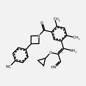 Cc1cc(C)c(/C(N)=C(/C=N)OC2CC2)cc1C(=O)N1CC(c2ccc(C#N)cc2)C1